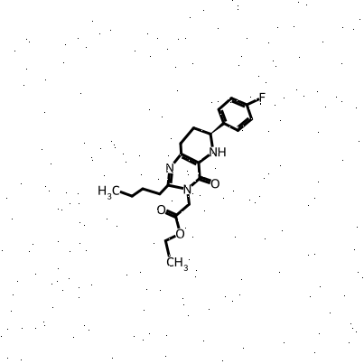 CCCCc1nc2c(c(=O)n1CC(=O)OCC)N[C@H](c1ccc(F)cc1)CC2